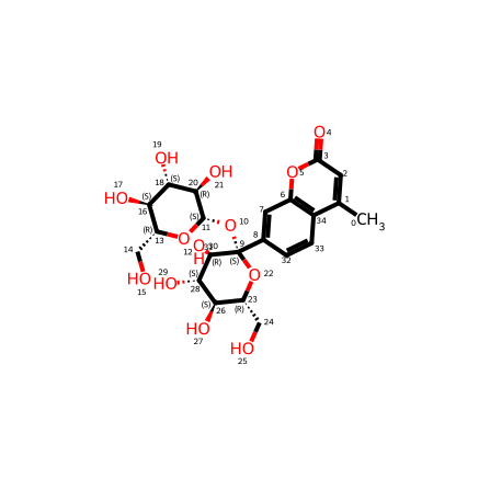 Cc1cc(=O)oc2cc([C@@]3(O[C@@H]4O[C@H](CO)[C@@H](O)[C@H](O)[C@H]4O)O[C@H](CO)[C@@H](O)[C@H](O)[C@H]3O)ccc12